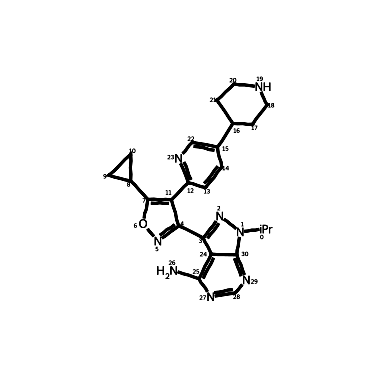 CC(C)n1nc(-c2noc(C3CC3)c2-c2ccc(C3CCNCC3)cn2)c2c(N)ncnc21